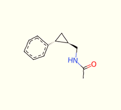 CC(=O)NC[C@@H]1C[C@H]1c1ccccc1